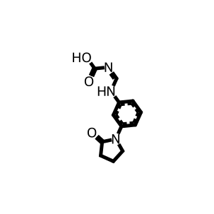 O=C(O)/N=C\Nc1cccc(N2CCCC2=O)c1